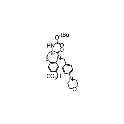 CC(C)(C)OC(=O)N[C@H]1CSc2ccc(C(=O)O)cc2N(Cc2ccc(N3CCOCC3)cc2)C1=O